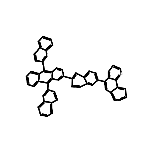 c1ccc2cc(-c3c4ccccc4c(-c4ccc5ccccc5c4)c4cc(-c5ccc6cc(-c7cc8ccccc8c8ncccc78)ccc6c5)ccc34)ccc2c1